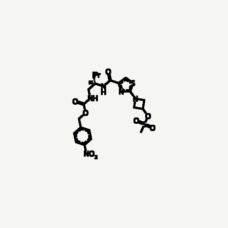 CC(C)[C@@H](CNC(=O)OCc1ccc([N+](=O)[O-])cc1)NC(=O)c1csc(N2CC(OS(C)(=O)=O)C2)n1